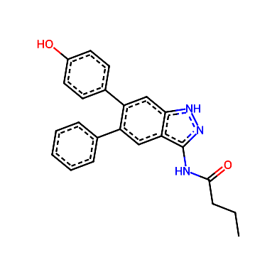 CCCC(=O)Nc1n[nH]c2cc(-c3ccc(O)cc3)c(-c3ccccc3)cc12